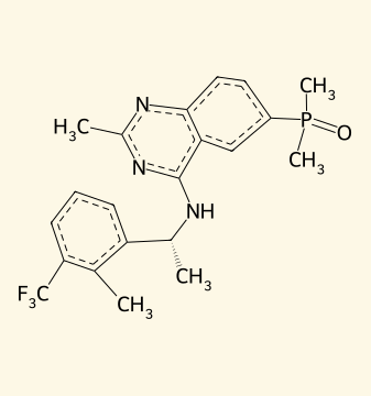 Cc1nc(N[C@H](C)c2cccc(C(F)(F)F)c2C)c2cc(P(C)(C)=O)ccc2n1